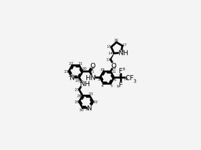 O=C(Nc1ccc(C(F)(F)C(F)(F)F)c(OC[C@H]2CCCN2)c1)c1cccnc1NCc1ccncc1